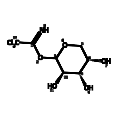 N=C(OC1OC[C@H](O)[C@H](O)[C@H]1O)C(Cl)(Cl)Cl